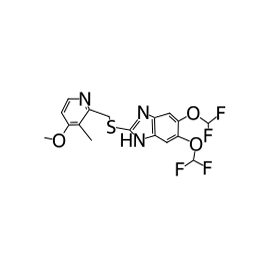 COc1ccnc(CSc2nc3cc(OC(F)F)c(OC(F)F)cc3[nH]2)c1C